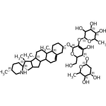 CC1O[C@@H](O[C@H]2C(O)=C(O[C@@H]3OC(C)[C@H](O)[C@H](O)C3O)[C@H](O[C@H]3CC[C@@]4(C)C(=CCC5C6CC7C[C@]8(CC[C@@H](C)CN8)[C@@H](C)C7[C@@]6(C)CCC54)C3)OC2CO)C[C@@H](O)[C@H]1O